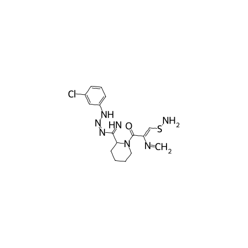 C=N/C(=C\SN)C(=O)N1CCCCC1C(=N)/N=N\Nc1cccc(Cl)c1